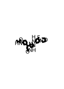 C=CC(=O)Nc1cccc(-c2cc(=O)[nH]c3cnc(Nc4ccc(N5CCOCC5)c(F)c4)nc23)c1